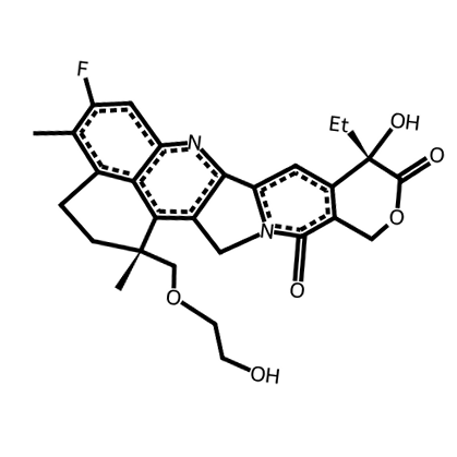 CC[C@@]1(O)C(=O)OCc2c1cc1n(c2=O)Cc2c-1nc1cc(F)c(C)c3c1c2[C@](C)(COCCO)CC3